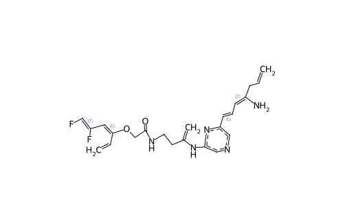 C=CC/C(N)=C/C=C/c1cncc(NC(=C)CCNC(=O)CO/C(C=C)=C/C(F)=C/F)n1